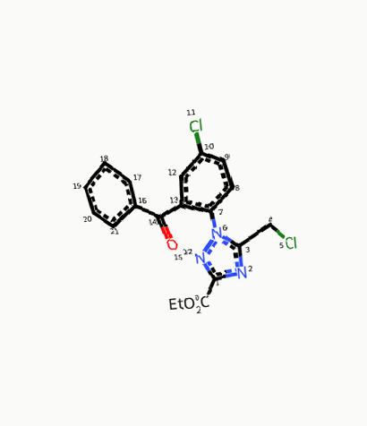 CCOC(=O)c1nc(CCl)n(-c2ccc(Cl)cc2C(=O)c2ccccc2)n1